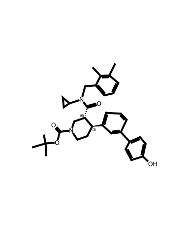 Cc1cccc(CN(C(=O)[C@H]2CN(C(=O)OC(C)(C)C)CC[C@@H]2c2cccc(-c3ccc(O)cc3)c2)C2CC2)c1C